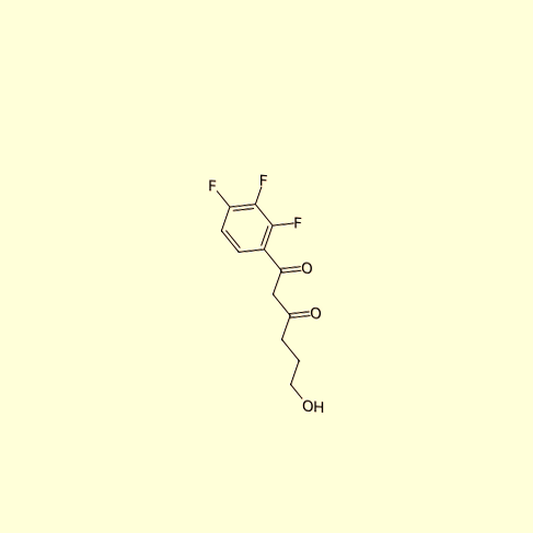 O=C(CCCO)CC(=O)c1ccc(F)c(F)c1F